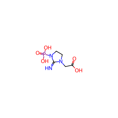 N=C1N(CC(=O)O)CCN1P(=O)(O)O